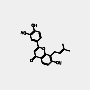 CC(C)=CCc1c(O)ccc2c(=O)cc(-c3ccc(O)c(O)c3)oc12